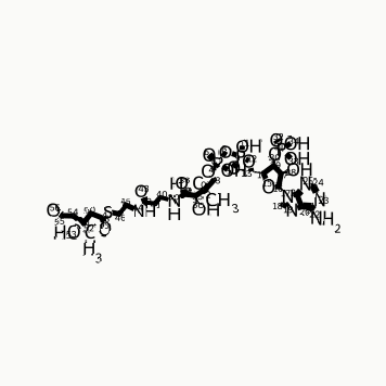 CC(C)(COP(=O)(O)OP(=O)(O)OC[C@H]1O[C@@H](n2cnc3c(N)ncnc32)[C@H](O)[C@@H]1OP(=O)(O)O)[C@@H](O)C(=O)NCCC(=O)NCCSC(=O)C[C@](C)(O)CC=O